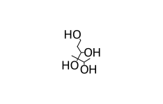 CC(O)C(C)(O)C(O)CCO